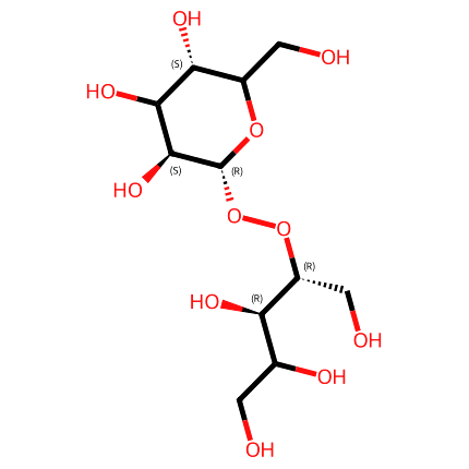 OCC1O[C@H](OO[C@H](CO)[C@H](O)C(O)CO)[C@@H](O)C(O)[C@@H]1O